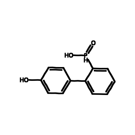 O=[PH](O)c1ccccc1-c1ccc(O)cc1